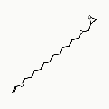 C=COCCCCCCCCCCCCOCC1CO1